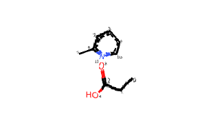 CCC(=O)O.Cc1ccccn1